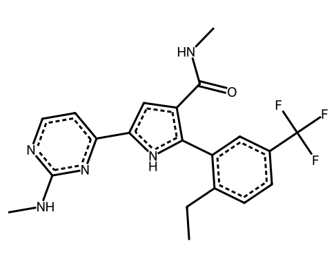 CCc1ccc(C(F)(F)F)cc1-c1[nH]c(-c2ccnc(NC)n2)cc1C(=O)NC